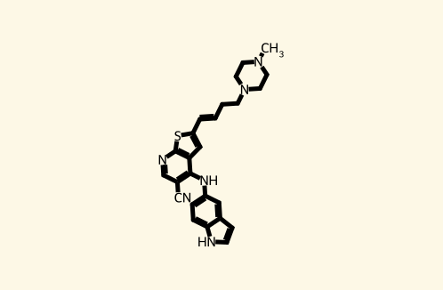 CN1CCN(CCC=Cc2cc3c(Nc4ccc5[nH]ccc5c4)c(C#N)cnc3s2)CC1